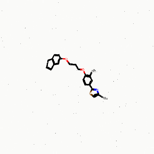 CCCc1cc(-c2nc(C(C)(C)C)cs2)ccc1OCCCOc1ccc2c(c1)CCC2